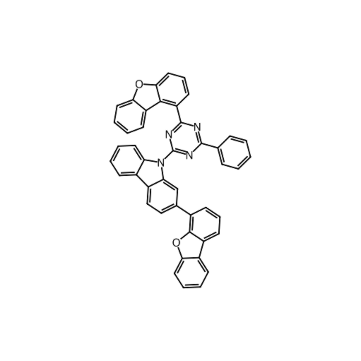 c1ccc(-c2nc(-c3cccc4oc5ccccc5c34)nc(-n3c4ccccc4c4ccc(-c5cccc6c5oc5ccccc56)cc43)n2)cc1